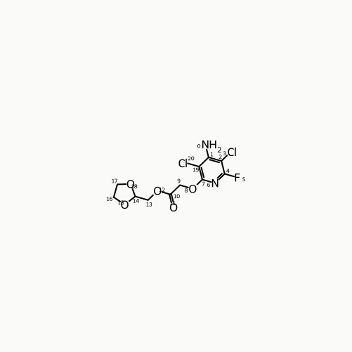 Nc1c(Cl)c(F)nc(OCC(=O)OCC2OCCO2)c1Cl